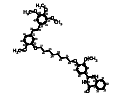 COc1cc(C2NC(=O)c3ccccc3N2)ccc1OCCCCCCCCOc1cc(C=Cc2cc(OC)c(OC)c(OC)c2)ccc1OC